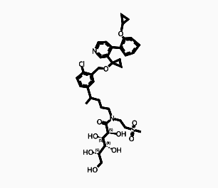 CC(CCCN(CCS(C)(=O)=O)C(=O)[C@@H](O)[C@@H](O)[C@H](O)[C@@H](O)CO)c1ccc(Cl)c(COC2(c3cnccc3-c3ccccc3OC3CC3)CC2)c1